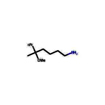 CCCC(C)(CCCCN)OC